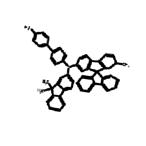 Cc1ccc(-c2ccc(N(c3ccc4c(c3)C(C)(C)c3ccccc3-4)c3ccc4c(c3)C3(C5=C4C=CC(C)C5)c4ccccc4-c4ccccc43)cc2)cc1